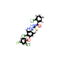 Cc1cc(Oc2ccc(F)cc2Cl)c(Cl)c(C)c1NC(=S)NC(=O)c1ccccc1Cl